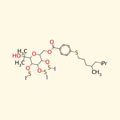 CC(C)CC(C)CCCSc1ccc(C(=O)OCC2OC(C(C)(C)O)C(OSI)C(OSI)C2OSI)cc1